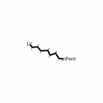 [Li][CH2]CCCCCCCCCCC